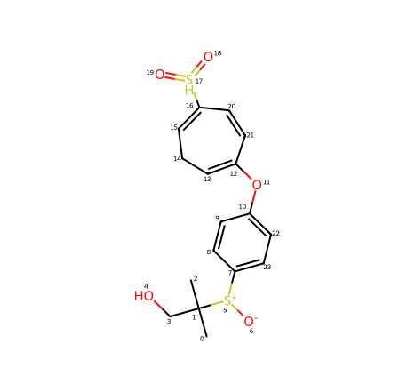 CC(C)(CO)[S+]([O-])c1ccc(OC2=CCC=C([SH](=O)=O)C=C2)cc1